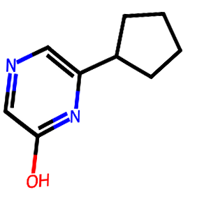 Oc1cncc(C2CCCC2)n1